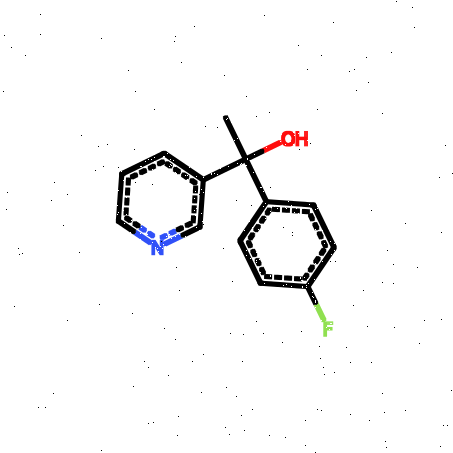 CC(O)(c1ccc(F)cc1)c1cccnc1